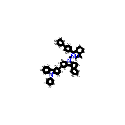 CC1CC12C=CC=C/C2=C(/NCn1c2ccc(-c3ccc4c(c3)c3ccccc3n4-c3ccccc3)cc2c2c3ccccc3ccc21)c1ccc(-c2ccccc2)cc1